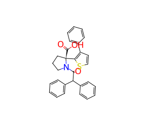 O=C(C(c1ccccc1)c1ccccc1)N1CCC[C@]1(C(=O)O)c1sccc1-c1ccccc1